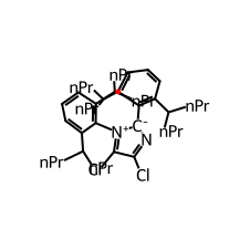 CCCC(CCC)c1cccc(C(CCC)CCC)c1-[c-]1nc(Cl)c(Cl)[n+]1-c1c(C(CCC)CCC)cccc1C(CCC)CCC